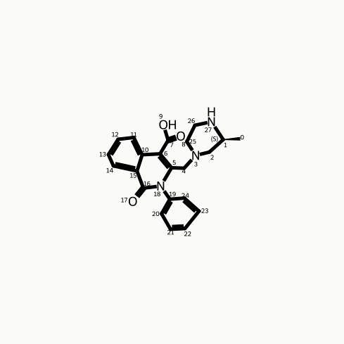 C[C@H]1CN(Cc2c(C(=O)O)c3ccccc3c(=O)n2-c2ccccc2)CCN1